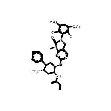 C=CC(=O)N[C@H]1C[C@H](C(=O)OCC)C(c2ccccc2)C[C@H]1Nc1ncc2c(n1)N(C)C(=O)N(c1c(Cl)c(OC)cc(OC)c1Cl)C2